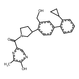 Cc1nc(C(=O)N2CCC(c3ccc(-c4ccccc4C4CC4)cc3CO)C2)cnc1O